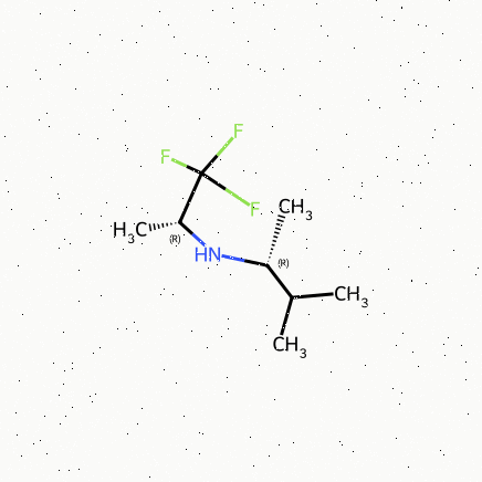 CC(C)[C@@H](C)N[C@H](C)C(F)(F)F